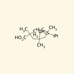 CC(C)S(C)(C)CC(C)(C)CC(C)(C)C(=O)O